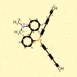 C#CC#CC#CP(C#CC#CC#C)c1ccccc1-c1ccccc1N(C)C